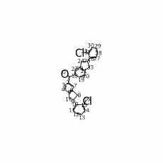 O=C(c1ccc2c(c1)CC(c1ccccc1Cl)C2)c1ccc2c(c1)CC(c1ccccc1Cl)C2